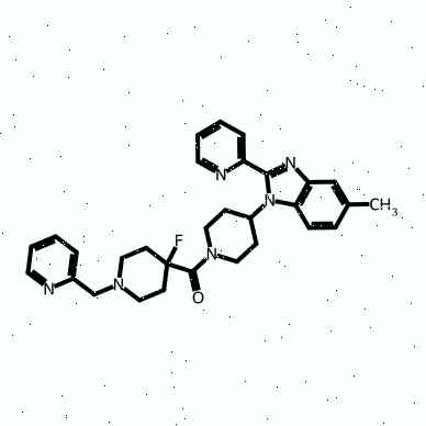 Cc1ccc2c(c1)nc(-c1ccccn1)n2C1CCN(C(=O)C2(F)CCN(Cc3ccccn3)CC2)CC1